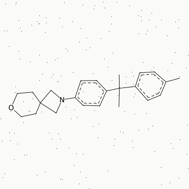 Cc1ccc(C(C)(C)c2ccc(N3CC4(CCOCC4)C3)cc2)cc1